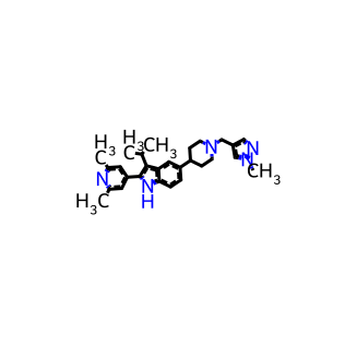 Cc1cc(-c2[nH]c3ccc(C4CCN(Cc5cnn(C)c5)CC4)cc3c2C(C)C)cc(C)n1